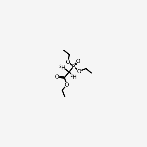 [2H]C([2H])(C(=O)OCC)P(=O)(OCC)OCC